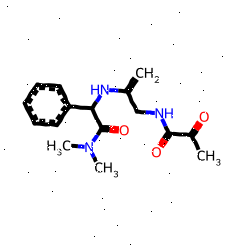 C=C(CNC(=O)C(C)=O)NC(C(=O)N(C)C)c1ccccc1